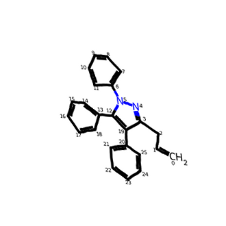 C=CCc1nn(-c2ccccc2)c(-c2ccccc2)c1-c1ccccc1